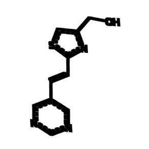 OCc1csc(C=Cc2cncnc2)n1